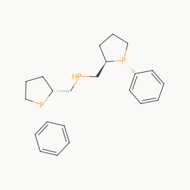 c1ccc([P@@]2CCC[C@@H]2CPC[C@H]2CCC[P@]2c2ccccc2)cc1